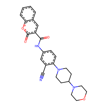 N#Cc1cc(NC(=O)c2cc3ccccc3oc2=O)ccc1N1CCC(N2CCOCC2)CC1